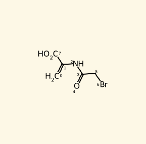 C=C(NC(=O)CBr)C(=O)O